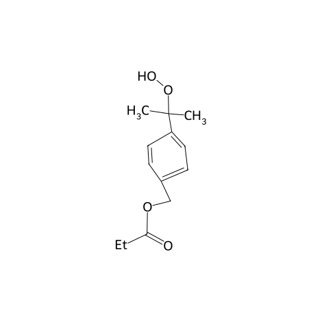 CCC(=O)OCc1ccc(C(C)(C)OO)cc1